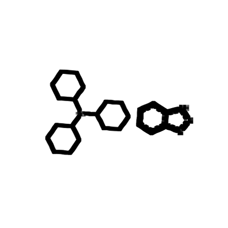 C1CC[CH]([Sn]([CH]2CCCCC2)[CH]2CCCCC2)CC1.c1ccc2[nH]nnc2c1